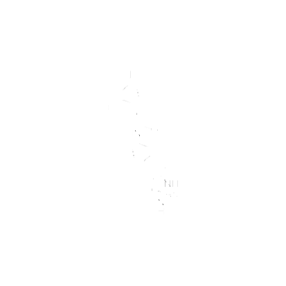 CCCNS(=O)(=O)NC1C2CCC1Cc1cc(NC(=O)C(C)Oc3ccc(Cl)cc3Cl)ccc1C2